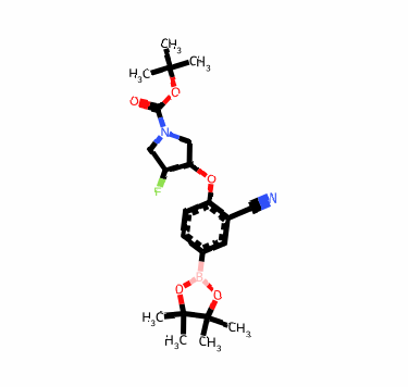 CC(C)(C)OC(=O)N1CC(F)C(Oc2ccc(B3OC(C)(C)C(C)(C)O3)cc2C#N)C1